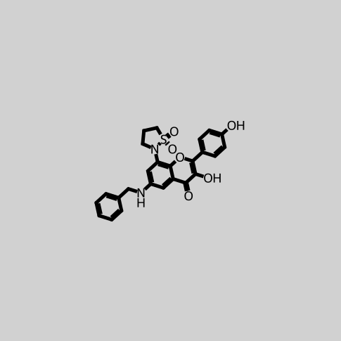 O=c1c(O)c(-c2ccc(O)cc2)oc2c(N3CCCS3(=O)=O)cc(NCc3ccccc3)cc12